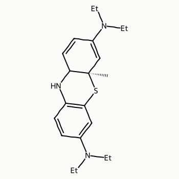 CCN(CC)C1=C[C@@]2(C)Sc3cc(N(CC)CC)ccc3NC2C=C1